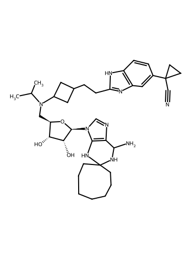 CC(C)N(C[C@H]1O[C@@H](n2cnc3c2NC2(CCCCCCC2)NC3N)[C@H](O)[C@@H]1O)C1CC(CCc2nc3cc(C4(C#N)CC4)ccc3[nH]2)C1